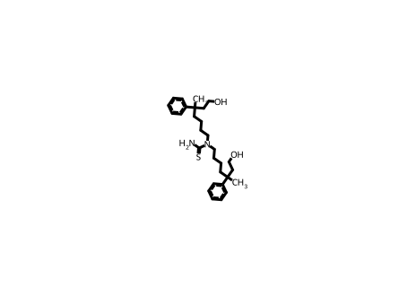 CC(CCO)(CCCCN(CCCCC(C)(CCO)c1ccccc1)C(N)=S)c1ccccc1